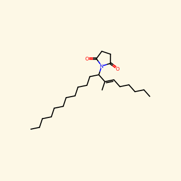 CCCCCC=C(C)C(CCCCCCCCCCC)N1C(=O)CCC1=O